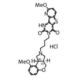 COc1ccc2sc3c(=O)n(CCCCN4C[C@H]5COc6cccc(OC)c6[C@@H]5C4)c(=O)[nH]c3c2n1.Cl